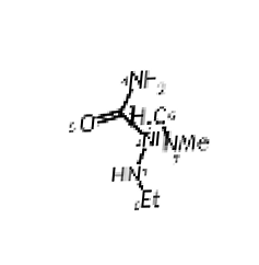 CCNNC(N)=O.CNC